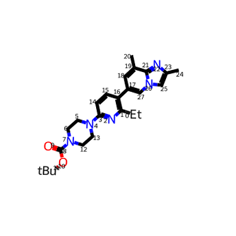 CCc1nc(N2CCN(C(=O)OC(C)(C)C)CC2)ccc1-c1cc(C)c2nc(C)cn2c1